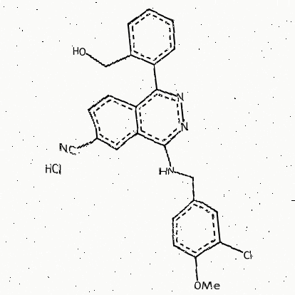 COc1ccc(CNc2nnc(-c3ccccc3CO)c3ccc(C#N)cc23)cc1Cl.Cl